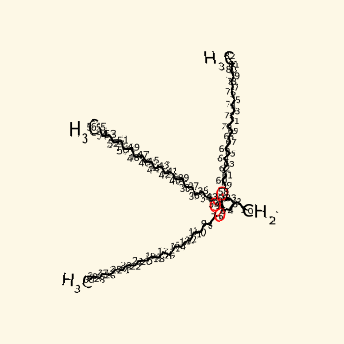 [CH2]CCc1cc(OCCCCCCCCCCCCCCCCCCCCCCCC)c(OCCCCCCCCCCCCCCCCCCCCCCCC)c(OCCCCCCCCCCCCCCCCCCCCCCCC)c1